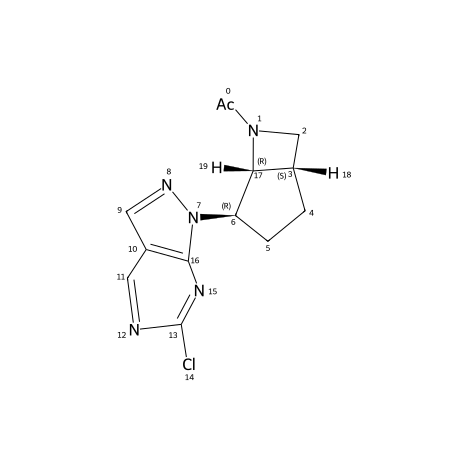 CC(=O)N1C[C@@H]2CC[C@@H](n3ncc4cnc(Cl)nc43)[C@@H]21